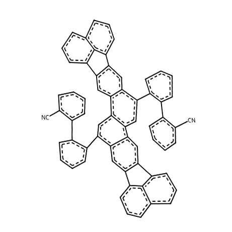 N#Cc1ccccc1-c1ccccc1-c1cc2c3cc4c(cc3c(-c3ccccc3-c3ccccc3C#N)cc2c2cc3c(cc12)-c1cccc2cccc-3c12)-c1cccc2cccc-4c12